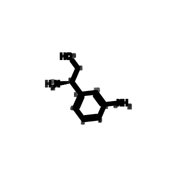 Nc1cccc([C@H](N)CO)c1